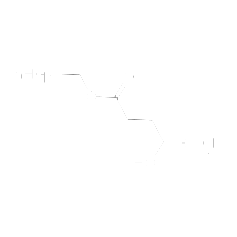 CCCCCCCCOC(=O)CC[C@@H](O)C(=O)O